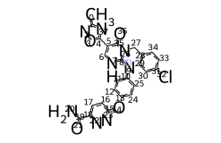 Cc1noc(-c2c[nH]/c(=N\c3ccc(Oc4ccc(C(N)=O)nn4)cc3)n(Cc3ccc(Cl)cc3)c2=O)n1